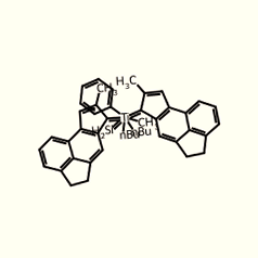 CCC[CH2][Ti]([CH3])(=[SiH2])([CH2]CCC)(=[C]1C(C)=Cc2c1cc1c3c(cccc23)CC1)(=[C]1C(C)=Cc2c1cc1c3c(cccc23)CC1)[c]1ccccc1